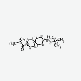 CC(C)C(=O)N1CCC2(CCN(CCC(C)(C)C)CC2)CC1